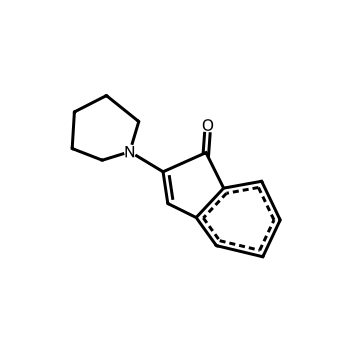 O=C1C(N2CCCCC2)=Cc2ccccc21